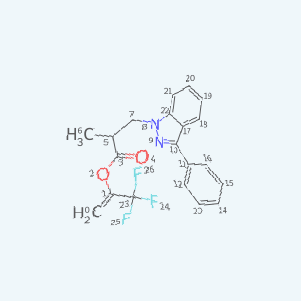 C=C(OC(=O)C(C)Cn1nc(-c2ccccc2)c2ccccc21)C(F)(F)F